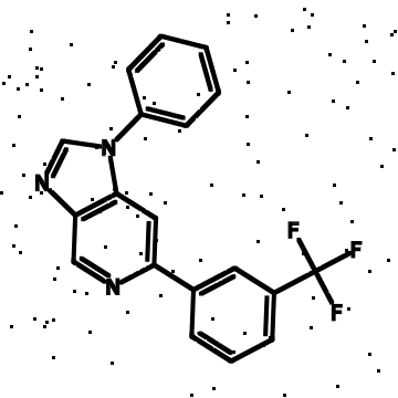 FC(F)(F)c1cccc(-c2cc3c(cn2)ncn3-c2ccccc2)c1